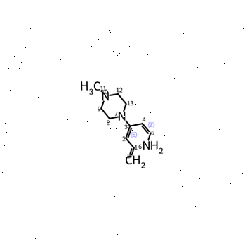 C=C/C=C(\C=C/N)N1CCN(C)CC1